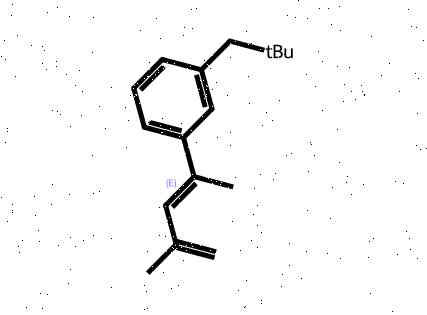 C=C(C)/C=C(\C)c1cccc(CC(C)(C)C)c1